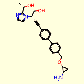 C[C@H](O)c1nccn1[C@@H](C#Cc1ccc(-c2ccc(CO[C@@H]3C[C@H]3N)cc2)cc1)CO